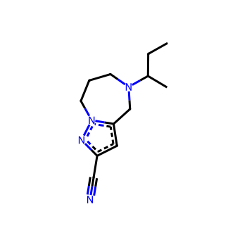 CCC(C)N1CCCn2nc(C#N)cc2C1